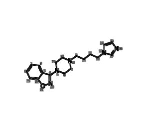 c1ccc2c(N3CCN(CCCCn4ccnc4)CC3)noc2c1